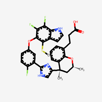 CSc1c(Oc2ccc(F)c(-c3nc([C@]4(C)C[C@@H](C)Oc5c(CCC(=O)O)cccc54)c[nH]3)c2)c(F)c(F)c2[nH]ccc12